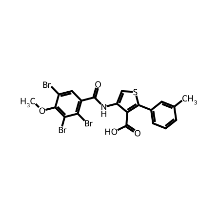 COc1c(Br)cc(C(=O)Nc2csc(-c3cccc(C)c3)c2C(=O)O)c(Br)c1Br